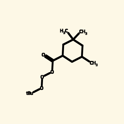 CC1CC(C(=O)OOOC(C)(C)C)CC(C)(C)C1